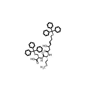 CSCC[C@@H](NC(=O)CC(O)C=CCCSC(c1ccccc1)(c1ccccc1)c1ccccc1)C(=O)N[C@H](CSC(c1ccccc1)(c1ccccc1)c1ccccc1)C(=O)O